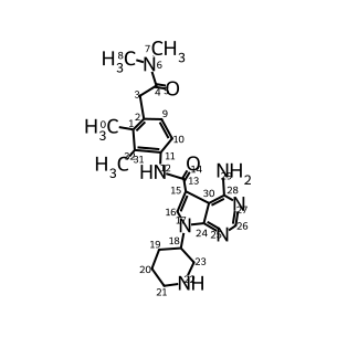 Cc1c(CC(=O)N(C)C)ccc(NC(=O)c2cn(C3CCCNC3)c3ncnc(N)c23)c1C